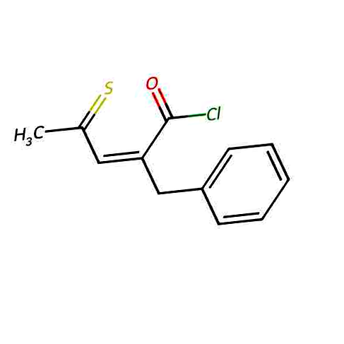 CC(=S)C=C(Cc1ccccc1)C(=O)Cl